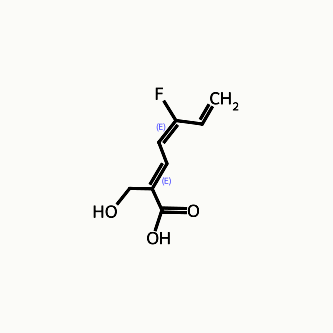 C=C/C(F)=C\C=C(/CO)C(=O)O